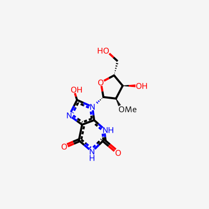 CO[C@@H]1[C@H](O)[C@@H](CO)O[C@H]1n1c(O)nc2c(=O)[nH]c(=O)[nH]c21